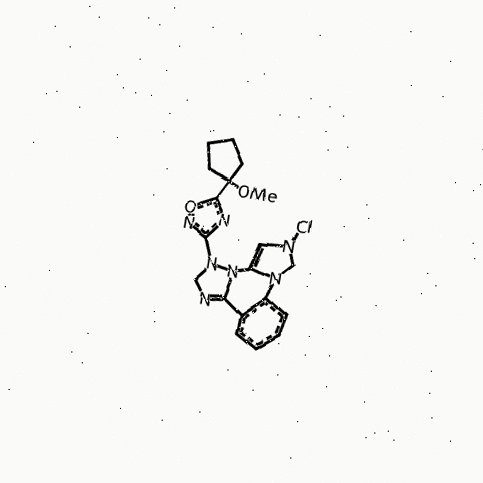 COC1(c2nc(N3CN=C4c5ccccc5N5CN(Cl)C=C5N43)no2)CCCC1